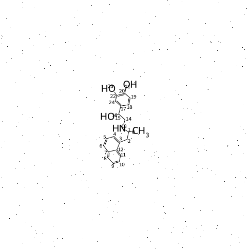 CC(Cc1cccc2ccccc12)NCC(O)c1ccc(O)c(O)c1